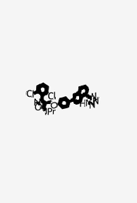 CC(C)c1onc(-c2c(Cl)cccc2Cl)c1COc1ccc(-c2ccc3c(-c4nnn[nH]4)cccc3c2)cc1